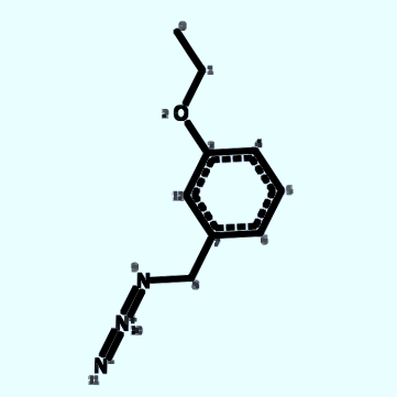 CCOc1cccc(CN=[N+]=[N-])c1